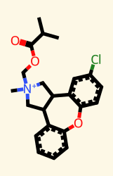 CC(C)C(=O)OC[N+]1(C)CC2c3ccccc3Oc3ccc(Cl)cc3C2C1